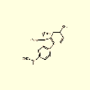 CCCCCC1(CCCCC)C2=C(C=CC(C)C2)c2ccc(NC=O)cc21